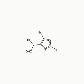 CCC(C=O)c1nc(Cl)sc1Br